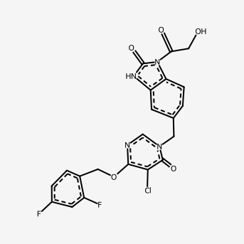 O=C(CO)n1c(=O)[nH]c2cc(Cn3cnc(OCc4ccc(F)cc4F)c(Cl)c3=O)ccc21